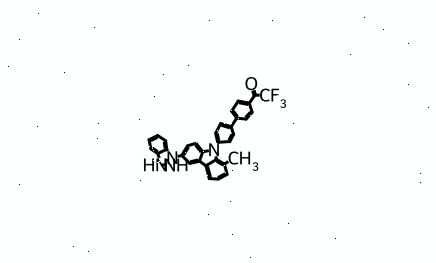 Cc1cccc2c3cc(N4NNc5ccccc54)ccc3n(-c3ccc(-c4ccc(C(=O)C(F)(F)F)cc4)cc3)c12